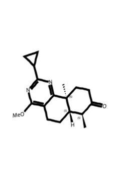 COc1nc(C2CC2)nc2c1CC[C@H]1[C@H](C)C(=O)CC[C@]21C